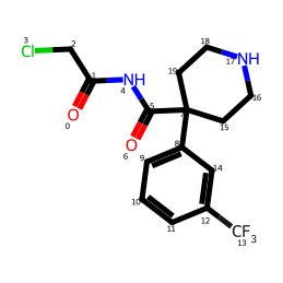 O=C(CCl)NC(=O)C1(c2cccc(C(F)(F)F)c2)CCNCC1